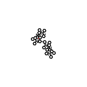 Cc1ccccc1N(c1ccccc1)c1c2ccccc2cc2c1c1cccc3c4c(N(c5ccccc5)c5ccc(-c6cccc(N(c7ccccc7)c7c8ccccc8cc8c7c7cccc9c%10c(N(c%11ccccc%11)c%11ccccc%11)c%11ccccc%11cc%10n8c97)c6)cc5C)c5ccccc5cc4n2c13